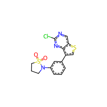 O=S1(=O)CCCN1c1cccc(-c2csc3cnc(Cl)nc23)c1